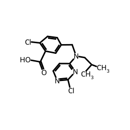 CC(C)CN(Cc1ccc(Cl)c(C(=O)O)c1)c1ccnc(Cl)n1